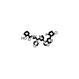 O=C(NCCC(c1cc(N2CCOc3cnc(-c4cc(Cl)ccc4F)cc32)ccn1)N1CCOCC1)c1ccccc1O